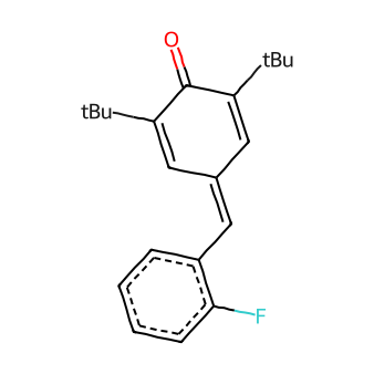 CC(C)(C)C1=CC(=Cc2ccccc2F)C=C(C(C)(C)C)C1=O